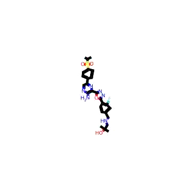 CC(C)S(=O)(=O)c1ccc(-c2cnc(N)c(-c3nnc(-c4ccc(CNCC(C)(C)O)cc4F)o3)n2)cc1